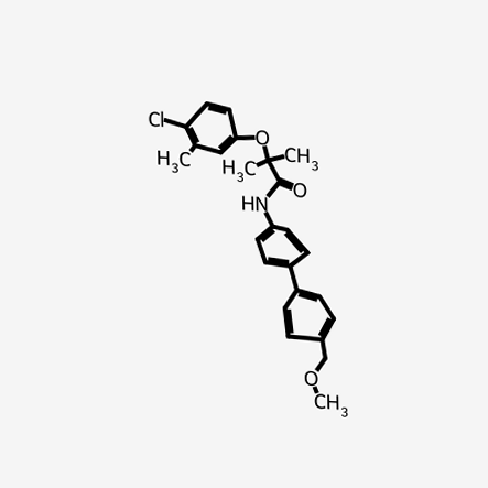 COCc1ccc(-c2ccc(NC(=O)C(C)(C)Oc3ccc(Cl)c(C)c3)cc2)cc1